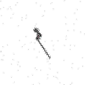 CCCCCCCCCCCCCCCCCCCCOP(=O)(O)OC[C@@]1(C)C[C@@H](c2ccc3c(N)ncnn23)[C@@H]2OC(C)(C)O[C@@H]21